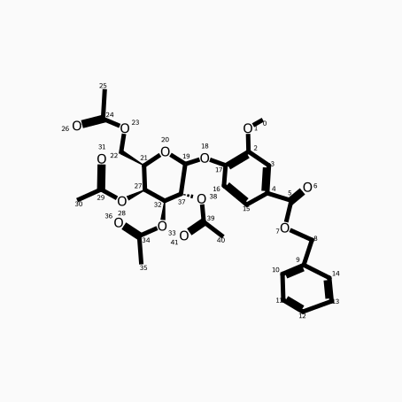 COc1cc(C(=O)OCc2ccccc2)ccc1OC1O[C@H](COC(C)=O)[C@H](OC(C)=O)[C@H](OC(C)=O)[C@H]1OC(C)=O